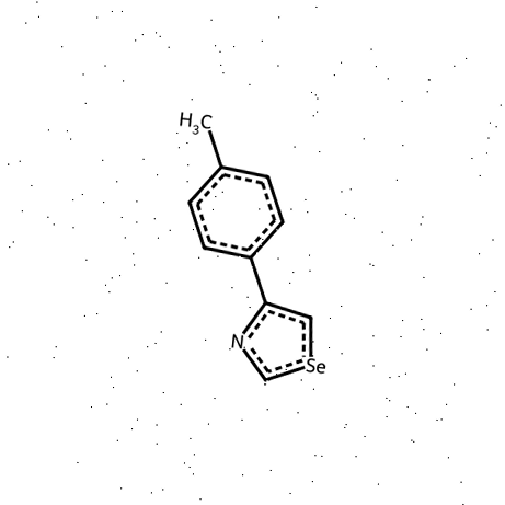 Cc1ccc(-c2c[se][c]n2)cc1